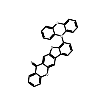 O=c1c2ccccc2oc2cc3c(cc12)sc1c(N2c4ccccc4Sc4ccccc42)cccc13